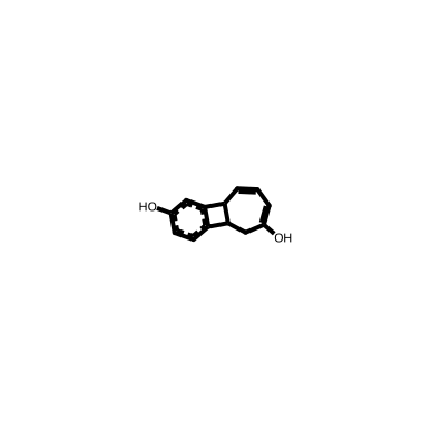 OC1=CC=CC2c3cc(O)ccc3C2C1